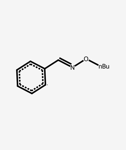 CCCCO/N=C/c1[c]cccc1